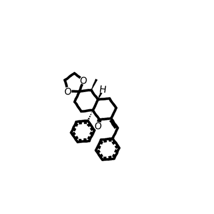 C[C@H]1[C@@H]2CCC(=Cc3ccccc3)C(=O)[C@@]2(c2ccccc2)CCC12OCCO2